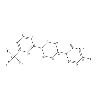 FC(F)(F)c1cccc(C2CCN(c3ccc(I)nn3)CC2)c1